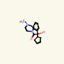 CN1CCN(C(=O)C(O)(c2ccccc2)C2CCCC2)CC1